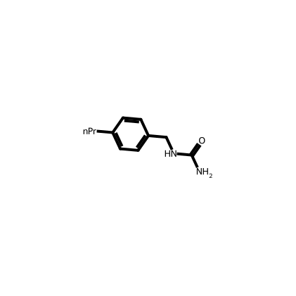 CCCc1ccc(CNC(N)=O)cc1